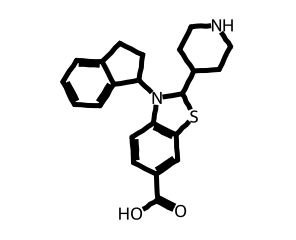 O=C(O)c1ccc2c(c1)SC(C1CCNCC1)N2C1CCc2ccccc21